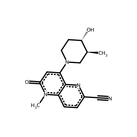 C[C@H]1CN(c2cc(=O)n(C)c3ccc(C#N)nc23)CC[C@@H]1O